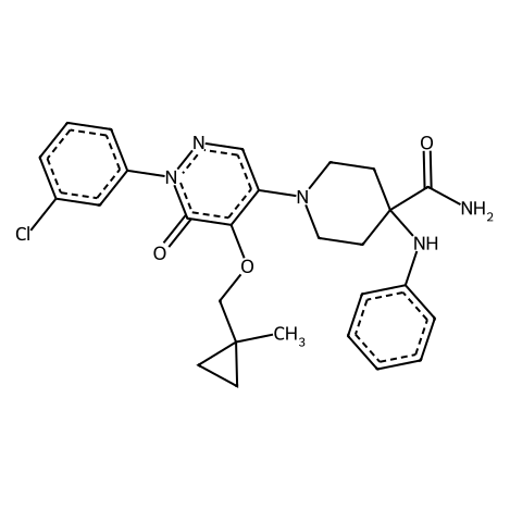 CC1(COc2c(N3CCC(Nc4ccccc4)(C(N)=O)CC3)cnn(-c3cccc(Cl)c3)c2=O)CC1